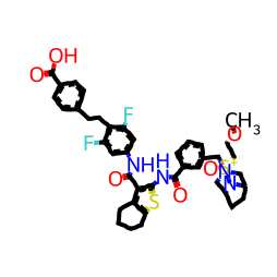 COCC[S+]([O-])N1C2CCC1CN(Cc1cccc(C(=O)Nc3sc4c(c3C(=O)Nc3cc(F)c(CCc5ccc(C(=O)O)cc5)c(F)c3)CCCC4)c1)C2